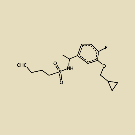 CC(NS(=O)(=O)CCCC=O)c1ccc(F)c(OCC2CC2)c1